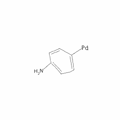 Nc1cc[c]([Pd])cc1